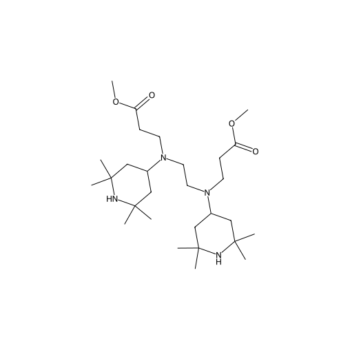 COC(=O)CCN(CCN(CCC(=O)OC)C1CC(C)(C)NC(C)(C)C1)C1CC(C)(C)NC(C)(C)C1